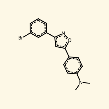 CN(C)c1ccc(-c2cc(-c3cccc(Br)c3)no2)cc1